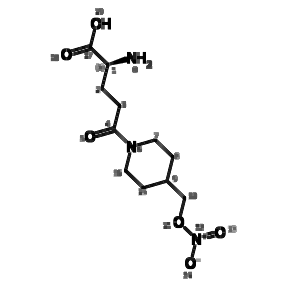 N[C@@H](CCC(=O)N1CCC(CO[N+](=O)[O-])CC1)C(=O)O